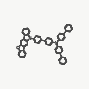 c1ccc(-c2ccc(N(c3ccc(-c4ccccc4)cc3)c3ccc(-c4ccc(-n5c6ccccc6c6cc7oc8ccccc8c7cc65)cc4)cc3)cc2)cc1